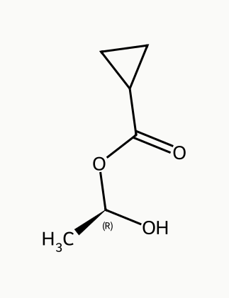 C[C@H](O)OC(=O)C1CC1